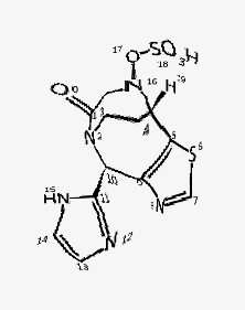 O=C1N2C[C@@H](c3scnc3[C@H]2c2ncc[nH]2)N1OS(=O)(=O)O